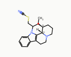 CC[C@]12CCCN3CCc4c(n(c5ccccc45)C(CSC#N)C1)[C@@H]32